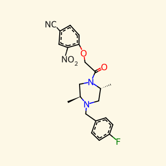 C[C@@H]1CN(Cc2ccc(F)cc2)[C@@H](C)CN1C(=O)COc1ccc(C#N)cc1[N+](=O)[O-]